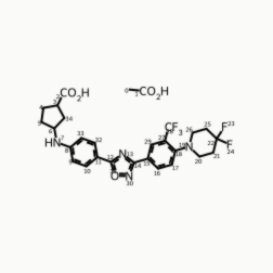 CC(=O)O.O=C(O)C1CCC(Nc2ccc(-c3nc(-c4ccc(N5CCC(F)(F)CC5)c(C(F)(F)F)c4)no3)cc2)C1